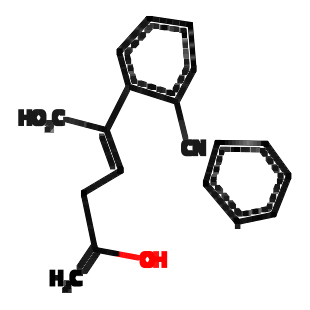 C=C(O)CC=C(C(=O)O)c1ccccc1C#N.[c]1ccccc1